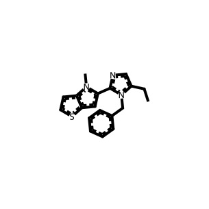 CCc1cnc(-c2cc3sccc3n2C)n1Cc1ccccc1